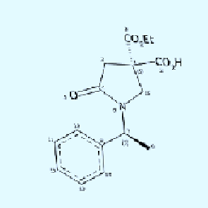 CCOC(=O)[C@@]1(C(=O)O)CC(=O)N([C@@H](C)c2ccccc2)C1